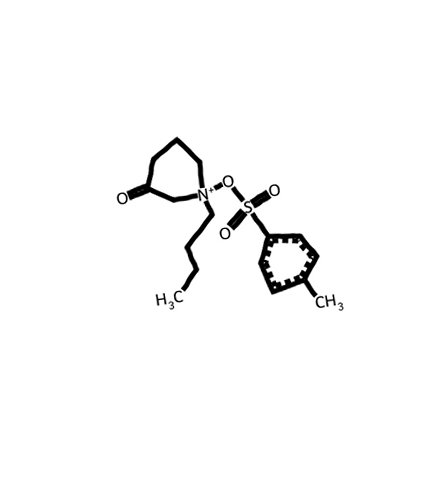 CCCC[N+]1(OS(=O)(=O)c2ccc(C)cc2)CCCC(=O)C1